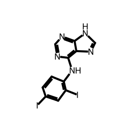 Ic1ccc(Nc2ncnc3[nH]cnc23)c(I)c1